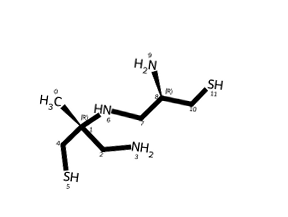 C[C@@](CN)(CS)NC[C@@H](N)CS